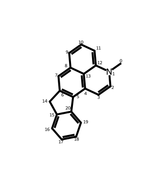 CN1C=Cc2c3c(cc4cccc1c24)Cc1ccccc1-3